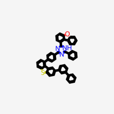 c1ccc(C2=NC(c3ccc(-c4cccc5sc6ccc(-c7cccc(-c8ccccc8)c7)cc6c45)cc3)=NC(c3cccc4oc5ccccc5c34)N2)cc1